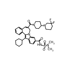 CN(C)S(=O)(=O)NC(=O)c1ccc2c(C3CCCCC3)c3n(c2c1)CC(C(=O)N1CCC(N2CCCC(F)(F)C2)CC1)=Cc1ccccc1-3